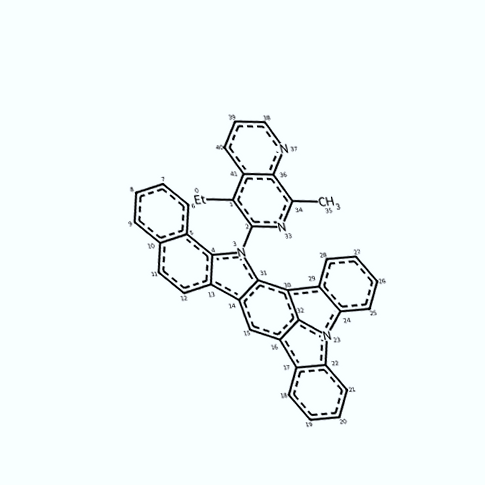 CCc1c(-n2c3c4ccccc4ccc3c3cc4c5ccccc5n5c6ccccc6c(c32)c45)nc(C)c2ncccc12